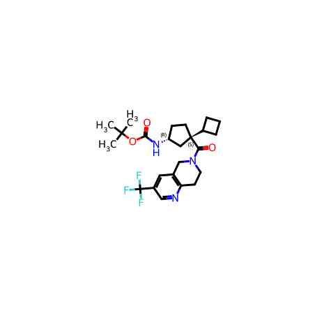 CC(C)(C)OC(=O)N[C@@H]1CC[C@@](C(=O)N2CCc3ncc(C(F)(F)F)cc3C2)(C2CCC2)C1